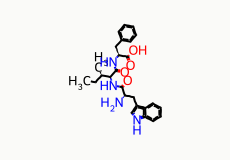 CC[C@H](C)[C@H](NC(=O)[C@@H](N)Cc1c[nH]c2ccccc12)C(=O)N[C@@H](Cc1ccccc1)C(=O)O